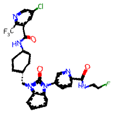 O=C(NCCF)c1ccc(-n2c(=O)n(C[C@H]3CC[C@H](NC(=O)c4cc(Cl)cnc4C(F)(F)F)CC3)c3ccccc32)cn1